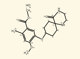 COC(=O)c1cc(OC2CCC3(CC2)NCCNC3=O)c(OC)cc1N.Cl